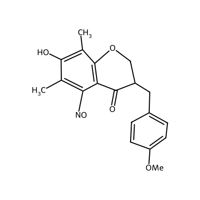 COc1ccc(CC2COc3c(C)c(O)c(C)c(N=O)c3C2=O)cc1